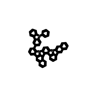 c1ccc(-n2c3ccccc3c3cc(-c4cccc5c6cc7ccccc7c7c8c9c%10cccc%11c%12cc%13ccccc%13cc%12n(c9ccc8n(c45)c67)c%11%10)ccc32)cc1